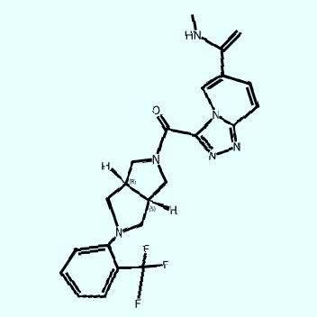 C=C(NC)c1ccc2nnc(C(=O)N3C[C@@H]4CN(c5ccccc5C(F)(F)F)C[C@@H]4C3)n2c1